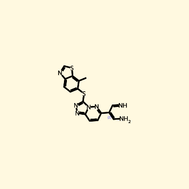 Cc1c(Sc2nnc3ccc(/C(C=N)=C/N)nn23)ccc2ncsc12